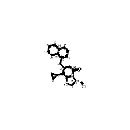 O=C[C@@H]1CSc2c(C3CC3)c(Cc3cccc4ccccc34)cc(=O)n21